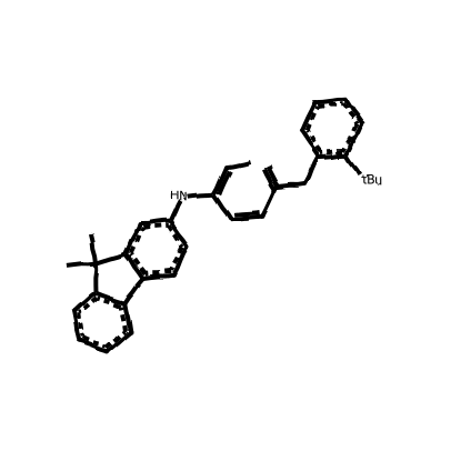 C=C(/C=C\C(=C/C)Nc1ccc2c(c1)C(C)(C)c1ccccc1-2)Cc1ccccc1C(C)(C)C